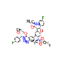 CNC(=O)c1c(-c2ccc(F)cc2)oc2cc(N(C)S(C)(=O)=O)c(-c3ccc4nnn([C@@H](COC)c5ccc(F)cc5)c(=O)c4c3)cc12